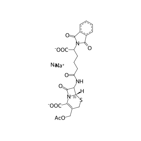 CC(=O)OCC1=C(C(=O)[O-])N2C(=O)C(NC(=O)CCCC(C(=O)[O-])N3C(=O)c4ccccc4C3=O)[C@@H]2SC1.[Na+].[Na+]